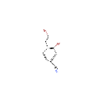 N#Cc1ccc(CCBr)c(Br)c1